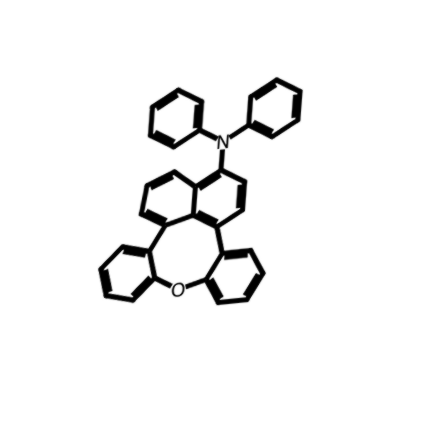 c1ccc(N(c2ccccc2)c2ccc3c4c(cccc24)-c2ccccc2Oc2ccccc2-3)cc1